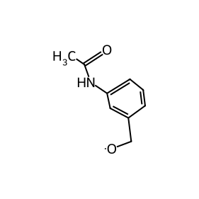 CC(=O)Nc1cccc(C[O])c1